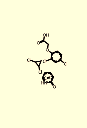 ClC1CC1Cl.O=C(O)COc1ccc(Cl)cc1Cl.O=c1[nH]c2ccc1cc2